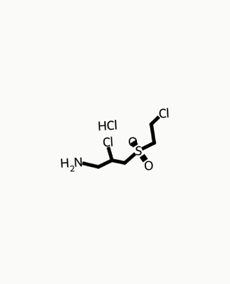 Cl.NCC(Cl)CS(=O)(=O)CCCl